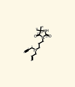 C#CCN(CC=C)CCCN1C(=O)NC(C)(C)C1=O